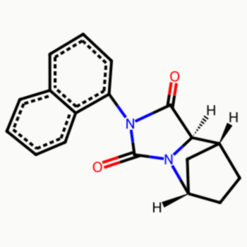 O=C1[C@H]2[C@@H]3CC[C@@H](C3)N2C(=O)N1c1cccc2ccccc12